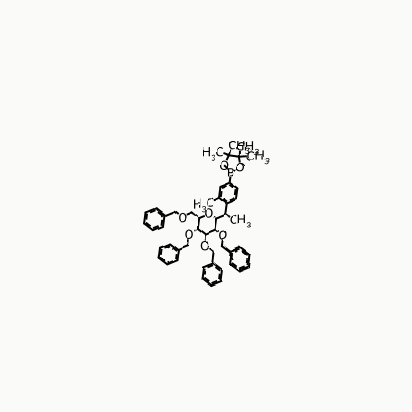 Cc1cc(B2OC(C)(C)C(C)(C)O2)ccc1[C@@H](C)[C@H]1O[C@H](COCc2ccccc2)[C@@H](OCc2ccccc2)[C@H](OCc2ccccc2)[C@@H]1OCc1ccccc1